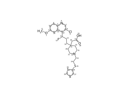 COc1ccc2ncc(Cl)c(C(F)CCC3(CC(=O)O)CCN(CCSc4cccs4)CC3)c2c1